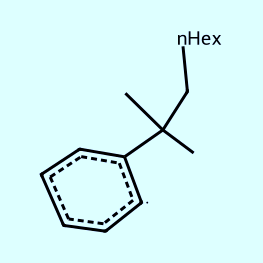 CCCCCCCC(C)(C)c1[c]cccc1